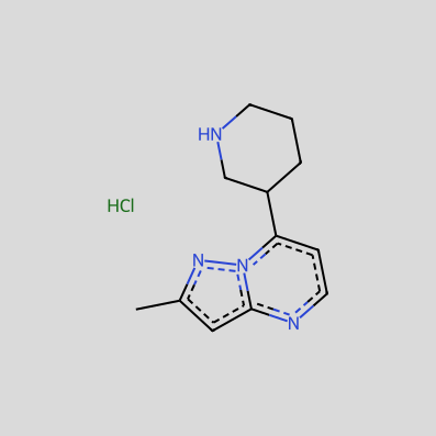 Cc1cc2nccc(C3CCCNC3)n2n1.Cl